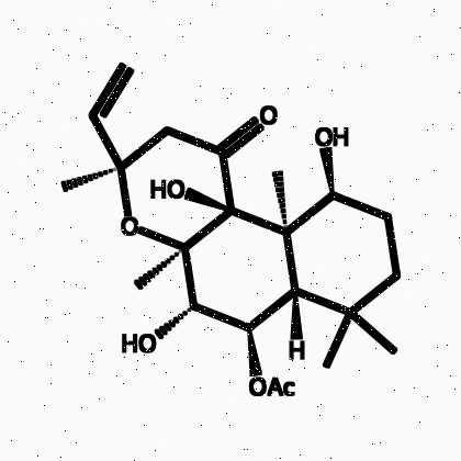 C=C[C@@]1(C)CC(=O)[C@]2(O)[C@@]3(C)[C@@H](O)CCC(C)(C)[C@@H]3[C@@H](OC(C)=O)[C@H](O)[C@@]2(C)O1